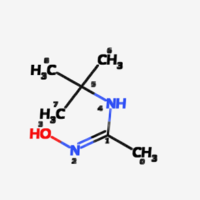 CC(=NO)NC(C)(C)C